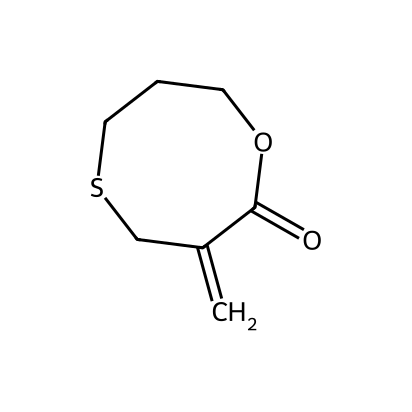 C=C1CSCCCOC1=O